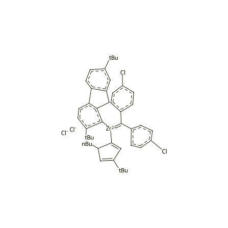 CCCCC1C=C(C(C)(C)C)C=[C]1[Zr+2](=[C](c1ccc(Cl)cc1)c1ccc(Cl)cc1)[c]1c(C(C)(C)C)ccc2c1Cc1cc(C(C)(C)C)ccc1-2.[Cl-].[Cl-]